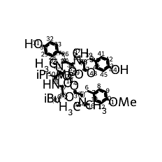 CC[C@@H](C)[C@@H](OC(=O)[C@H](Cc1ccc(OC)cc1)N(C)C)C(=O)N[C@H](C(=O)N(C)[C@H](Cc1ccc(O)cc1)C(=O)N(C)[C@H](Cc1ccc(O)cc1)C(=O)OC)C(C)C